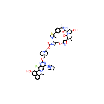 CCc1cccc2cc(O)cc(-c3ncc4c(N5CC6CCC(C5)N6)nc(OC[C@@]56CCCN5[C@H](COC(=O)N5CC(COc7cc([C@@H](C(=O)N8C[C@H](O)C[C@H]8C(=O)N[C@@H](C)c8ccc(-c9scnc9C)cc8)C(C)C)on7)C5)CC6)nc4c3F)c12